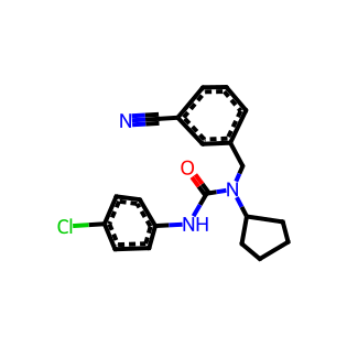 N#Cc1cccc(CN(C(=O)Nc2ccc(Cl)cc2)C2CCCC2)c1